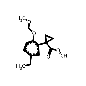 CCc1ccc(OCOC)c(C2(C(=O)OC)CC2)c1